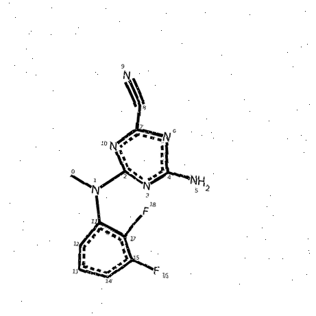 CN(c1nc(N)nc(C#N)n1)c1cccc(F)c1F